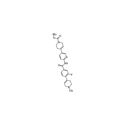 CC(C)(C)OC(=O)N1CC=C(c2ccc(NC(=O)c3ccc(C4=CCB(C#N)CC4)c(F)c3)nc2)CC1